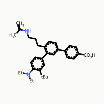 C=C(C)NCCCc1ccc(-c2ccc(C(=O)O)cc2)cc1-c1ccc(N(CC)CC)c(C(C)(C)C)c1